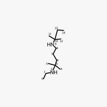 CCNC(C)(C)CCCNC(C)(C)CC